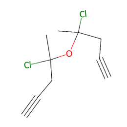 C#CCC(C)(Cl)OC(C)(Cl)CC#C